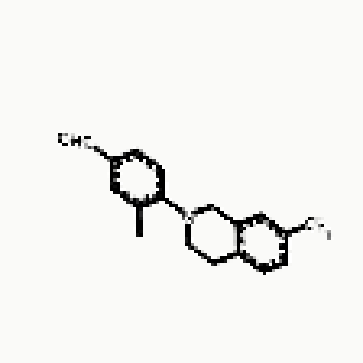 Cc1cc(C=O)ccc1N1CCc2ccc(C(F)(F)F)cc2C1